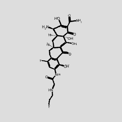 NC(=O)C1=C(O)[C@H](N)[C@@H]2C[C@@H]3Cc4c(F)cc(NC(=O)CNCCF)c(O)c4C(=O)C3=C(O)[C@]2(O)C1=O